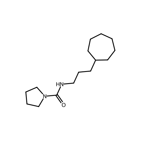 O=C(NCCCC1CCCCCC1)N1CCCC1